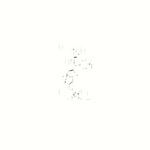 C[C@H](N[S+]([O-])C(C)(C)C)c1cnn2cc([C@@H](NC(=O)OC(C)(C)C)C3CCC(F)(F)CC3)nc2c1